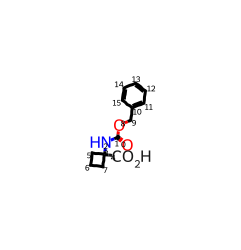 O=C(NC1(C(=O)O)CCC1)OCc1ccccc1